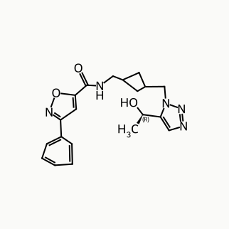 C[C@@H](O)c1cnnn1CC1CC(CNC(=O)c2cc(-c3ccccc3)no2)C1